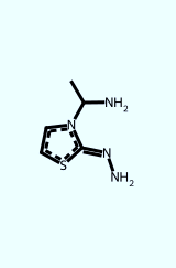 CC(N)n1ccs/c1=N\N